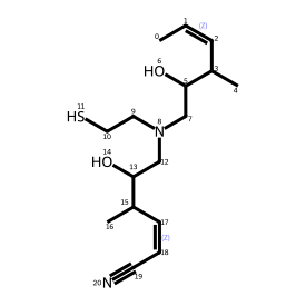 C/C=C\C(C)C(O)CN(CCS)CC(O)C(C)/C=C\C#N